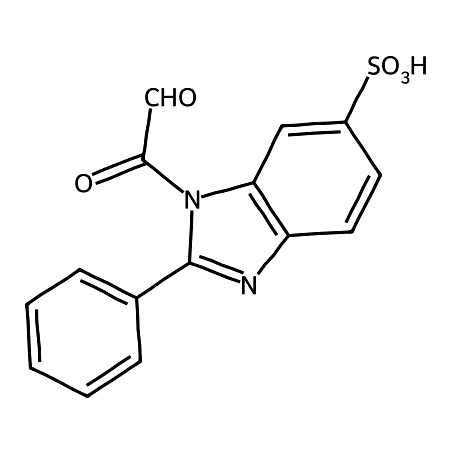 O=CC(=O)n1c(-c2ccccc2)nc2ccc(S(=O)(=O)O)cc21